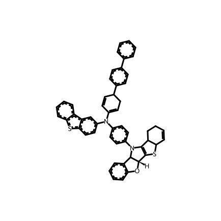 C1=CC2SC3=C(C2CC1)N(c1ccc(N(C2=CCC(c4ccc(-c5ccccc5)cc4)C=C2)c2ccc4sc5ccccc5c4c2)cc1)C1c2ccccc2O[C@@H]31